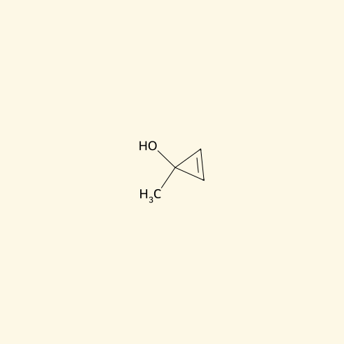 CC1(O)C=C1